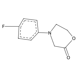 O=C1CN(c2ccc(F)cc2)CCO1